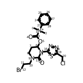 C[N+](C)(C(=O)OC1CCN(CCBr)C(=O)N1c1nnc(CCl)s1)c1ccccc1